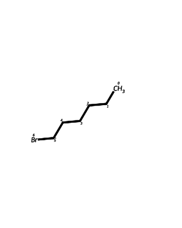 CC[CH]CC[CH]Br